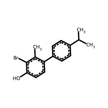 Cc1c(-c2ccc(C(C)C)cc2)ccc(O)c1Br